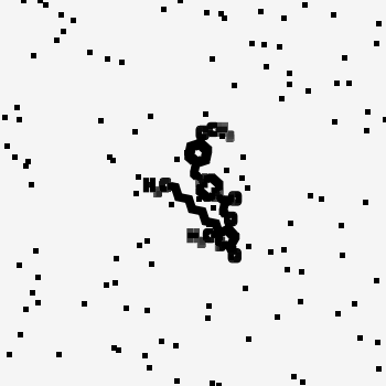 CCCCCCCCC1(C)SC(=O)C=C1OCC(=O)N1CCN(Cc2ccc(OC)cc2)CC1